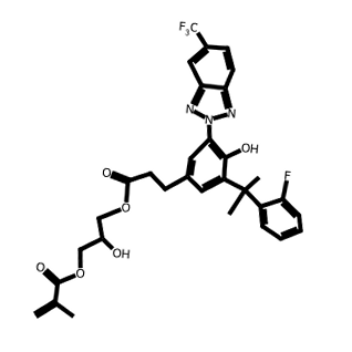 C=C(C)C(=O)OCC(O)COC(=O)CCc1cc(-n2nc3ccc(C(F)(F)F)cc3n2)c(O)c(C(C)(C)c2ccccc2F)c1